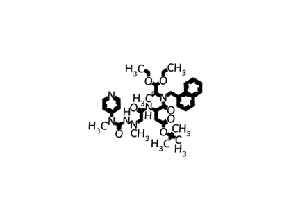 CCOC(OCC)[C@H](C)N(Cc1cccc2ccccc12)C(=O)C(CC(=O)OC(C)(C)C)NC(=O)CN(C)NC(=O)N(C)c1ccncc1